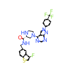 O=C(NCc1ccc2scc(F)c2c1)[C@H]1CN(c2ncnc3nn(-c4ccc(C(F)(F)F)cc4)cc23)CCN1